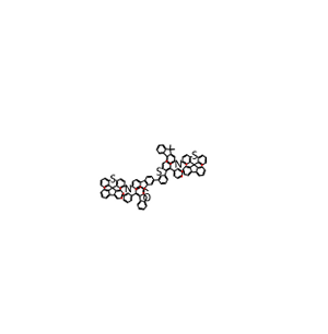 CC1(C)c2cc(-c3cccc4c3sc3cccc(-c5ccccc5N(c5ccc6c(c5)C(C)(C)c5ccccc5-6)c5ccc6c(c5)C5(c7ccccc7S6)c6ccccc6-c6ccccc65)c34)ccc2-c2ccc(N(c3ccc4c(c3)C3(c5ccccc5S4)c4ccccc4-c4ccccc43)c3ccccc3-c3cccc4oc5ccccc5c34)cc21